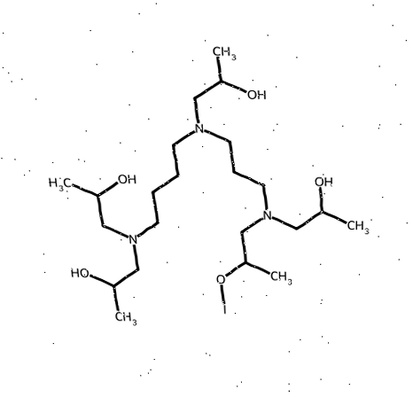 CC(O)CN(CCCCN(CC(C)O)CC(C)O)CCCN(CC(C)O)CC(C)OI